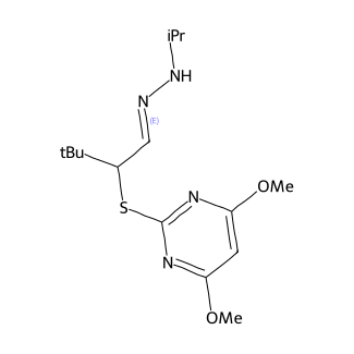 COc1cc(OC)nc(SC(/C=N/NC(C)C)C(C)(C)C)n1